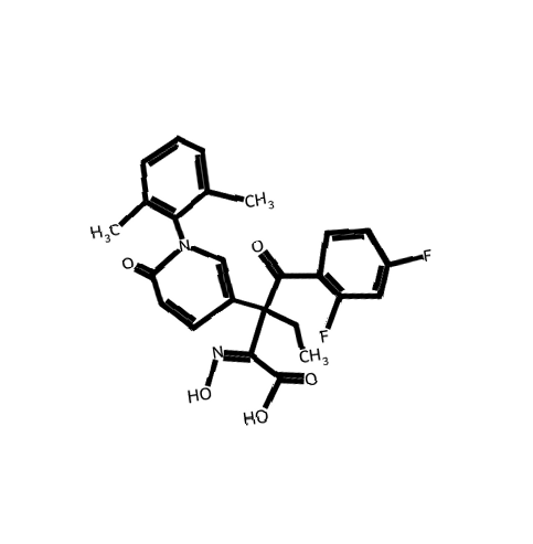 CCC(C(=O)c1ccc(F)cc1F)(C(=NO)C(=O)O)c1ccc(=O)n(-c2c(C)cccc2C)c1